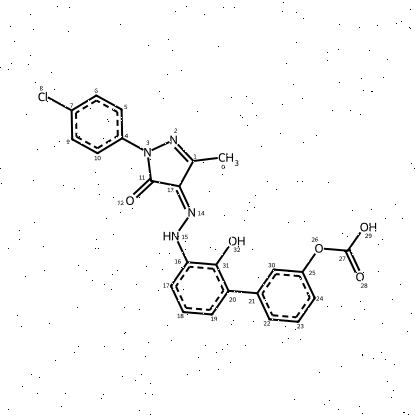 CC1=NN(c2ccc(Cl)cc2)C(=O)C1=NNc1cccc(-c2cccc(OC(=O)O)c2)c1O